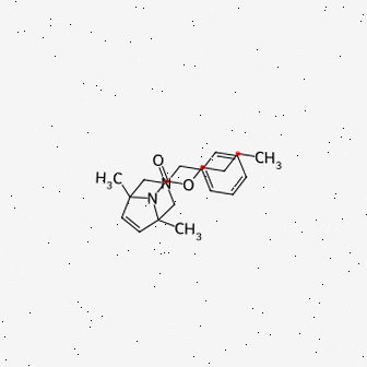 CCCCOC(=O)N1C2(C)C=CC1(C)CN(Cc1ccccc1)C2